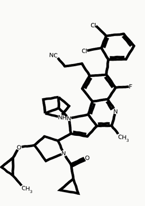 Cc1nc2c(F)c(-c3cccc(Cl)c3Cl)c(CCC#N)cc2c2c1cc(C1CC(OC3CC3C)CN1C(=O)C1CC1)n2C1C2CNC1C2